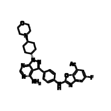 CC(=O)c1cc(F)cc2nc(Nc3ccc(-c4nn([C@H]5CC[C@H](N6CCOCC6)CC5)c5ncnc(N)c45)cc3)oc12